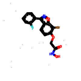 O=C(COc1ccc2c(-c3ccccc3F)noc2c1Br)NO